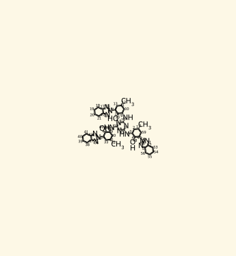 Cc1cc(Nc2nc(Nc3cc(C)cc(-n4nc5ccccc5n4)c3O)nc(Nc3cc(C)cc(-n4nc5ccccc5n4)c3O)n2)c(O)c(-n2nc3ccccc3n2)c1